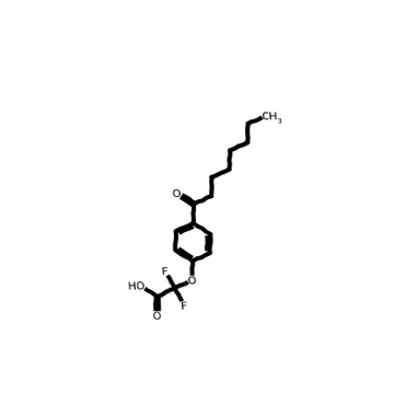 CCCCCCCC(=O)c1ccc(OC(F)(F)C(=O)O)cc1